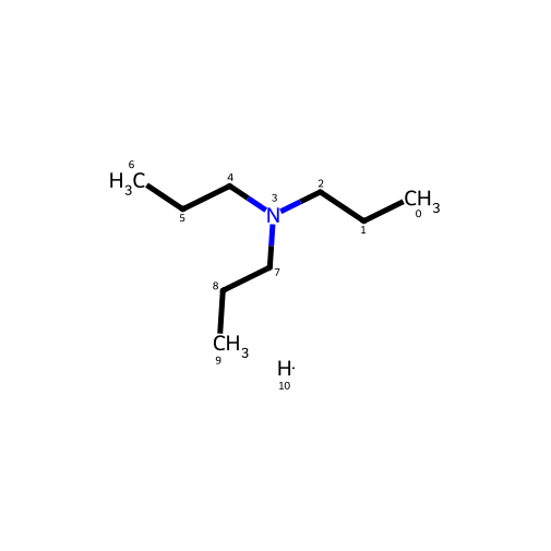 CCCN(CCC)CCC.[H]